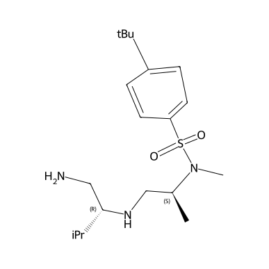 CC(C)[C@H](CN)NC[C@H](C)N(C)S(=O)(=O)c1ccc(C(C)(C)C)cc1